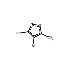 Cc1snc(O)c1Br